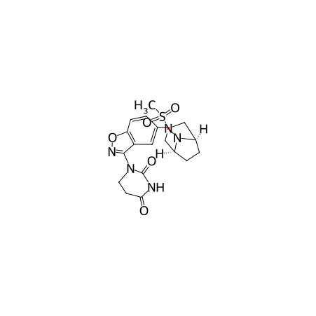 CS(=O)(=O)N1C[C@H]2CC[C@@H](C1)N2Cc1ccc2onc(N3CCC(=O)NC3=O)c2c1